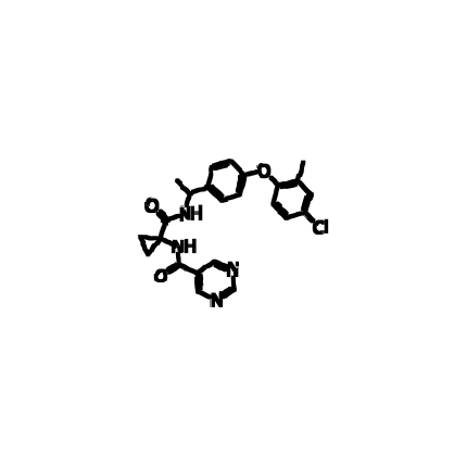 Cc1cc(Cl)ccc1Oc1ccc(C(C)NC(=O)C2(NC(=O)c3cncnc3)CC2)cc1